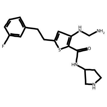 NCNc1cc(CCc2cccc(F)c2)sc1C(=O)NC1CCNC1